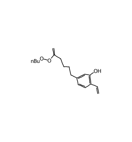 C=Cc1ccc(CCCCC(=C)OOCCCC)cc1O